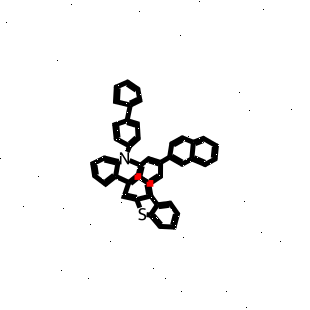 c1ccc(-c2ccc(N(c3cccc(-c4ccc5ccccc5c4)c3)c3ccccc3-c3ccc4c(c3)sc3ccccc34)cc2)cc1